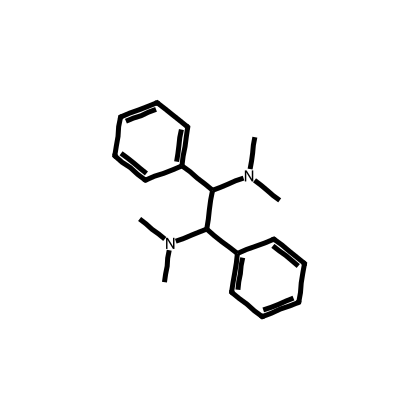 CN(C)C(c1ccccc1)C(c1ccccc1)N(C)C